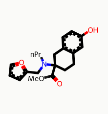 CCCN(Cc1ccco1)C1(C(=O)OC)CCc2cc(O)ccc2C1